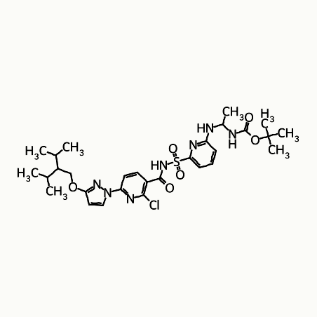 CC(NC(=O)OC(C)(C)C)Nc1cccc(S(=O)(=O)NC(=O)c2ccc(-n3ccc(OCC(C(C)C)C(C)C)n3)nc2Cl)n1